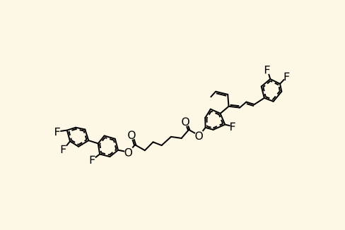 C\C=C/C(=C\C=C\c1ccc(F)c(F)c1)c1ccc(OC(=O)CCCCCC(=O)Oc2ccc(-c3ccc(F)c(F)c3)c(F)c2)cc1F